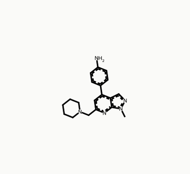 Cn1ncc2c(-c3ccc(N)cc3)cc(CN3CCCCC3)nc21